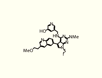 CNc1nc(NCc2cncc(O)c2)c2c(-c3ccc4ncc(CCOC)cc4c3)cn(SI)c2n1